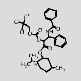 CC1CC[C@H](C(C)C)C(OC(=O)C(OC(=O)OCC(Cl)(Cl)Cl)C(NC(=O)c2ccccc2)c2ccccc2)C1